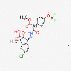 COC(=O)[As](C(=O)N1COC2(C(=O)O)C(=N1)c1ccc(Cl)cc1C2C)c1ccc(OC(F)(F)F)cc1